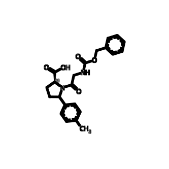 Cc1ccc(C2CC[C@@H](C(=O)O)N2C(=O)CNC(=O)OCc2ccccc2)cc1